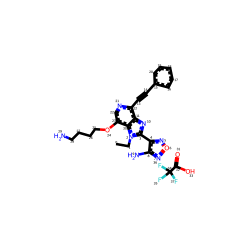 CCn1c(-c2nonc2N)nc2c(C#Cc3ccccc3)ncc(OCCCCN)c21.O=C(O)C(F)(F)F